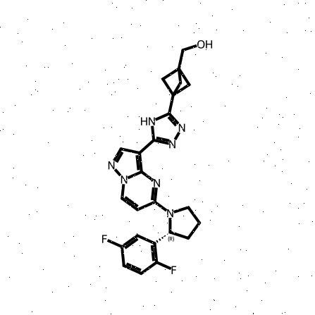 OCC12CC(c3nnc(-c4cnn5ccc(N6CCC[C@@H]6c6cc(F)ccc6F)nc45)[nH]3)(C1)C2